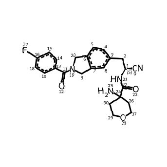 N#C[C@H](Cc1ccc2c(c1)CN(C(=O)c1ccc(F)cc1)C2)NC(=O)C1(N)CCOCC1